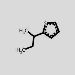 [CH2]CC(C)c1cccs1